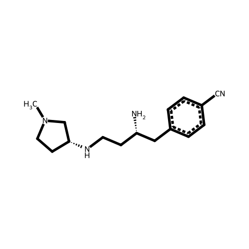 CN1CC[C@@H](NCC[C@H](N)Cc2ccc(C#N)cc2)C1